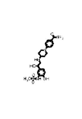 CS(=O)(=O)Nc1cc([C@@H](O)CNC2CCN(c3ccc(C(N)=O)cc3)CC2)ccc1O